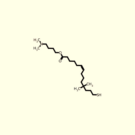 CN(C)CCCCOC(=O)CCCC/C=C\CCCC(C)(C)CCCS